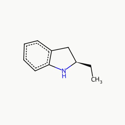 CC[C@@H]1Cc2ccccc2N1